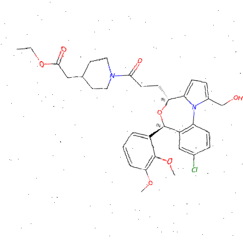 CCOC(=O)CC1CCN(C(=O)CC[C@H]2O[C@H](c3cccc(OC)c3OC)c3cc(Cl)ccc3-n3c(CO)ccc32)CC1